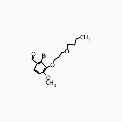 CCCCOCCCOc1c(OC)ccc(C=O)c1Br